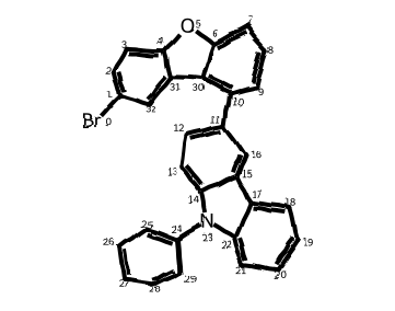 Brc1ccc2oc3cccc(-c4ccc5c(c4)c4ccccc4n5-c4ccccc4)c3c2c1